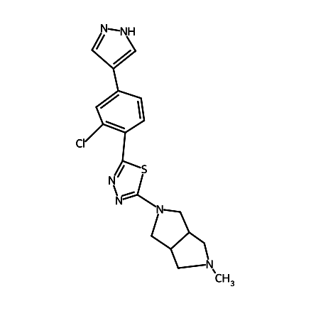 CN1CC2CN(c3nnc(-c4ccc(-c5cn[nH]c5)cc4Cl)s3)CC2C1